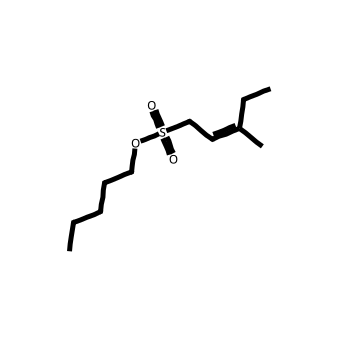 CCCCCOS(=O)(=O)CC=C(C)CC